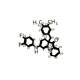 CCCC1=CC(Nc2ccc(F)c(F)c2)=CCC1(Cc1ccc(C)c(C)c1)C(=O)c1ccccn1